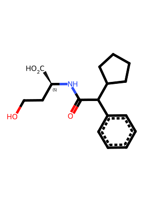 O=C(N[C@@H](CCO)C(=O)O)C(c1ccccc1)C1CCCC1